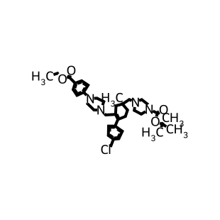 CCOC(=O)c1ccc(N2CCN(CC3=C(c4ccc(Cl)cc4)CCC(C)(CN4CCN(C(=O)OC(C)(C)C)CC4)C3)CC2)cc1